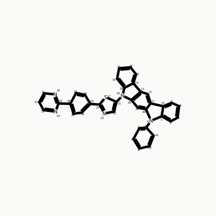 c1ccc(-n2c3ccccc3c3cc4c5ccccc5n(-c5cnc(-c6ccc(-c7ncccn7)cc6)s5)c4cc32)cc1